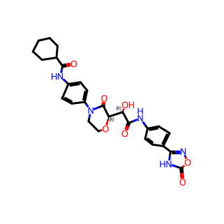 O=C(Nc1ccc(N2CCO[C@H]([C@@H](O)C(=O)Nc3ccc(-c4noc(=O)[nH]4)cc3)C2=O)cc1)C1CCCCC1